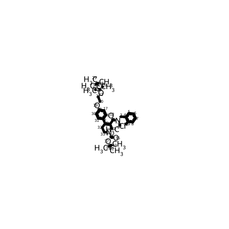 CCN(Cc1ccccc1Cl)C(=O)C1=C(c2ccc(OCCO[Si](C)(C)C(C)(C)C)cc2)CCN(C(=O)OC(C)(C)C)C1